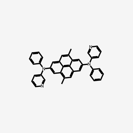 Cc1cc2cc(N(c3ccccc3)c3cccnc3)cc3c(C)cc4cc(N(c5ccccc5)c5cccnc5)cc1c4c23